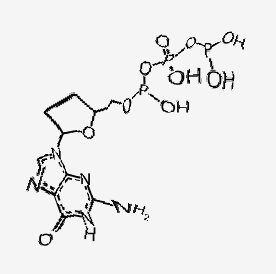 Nc1nc2c(ncn2C2CCC(COP(O)OP(=O)(O)OP(O)O)O2)c(=O)[nH]1